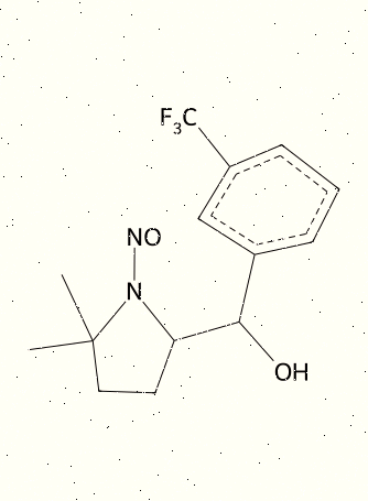 CC1(C)CCC(C(O)c2cccc(C(F)(F)F)c2)N1N=O